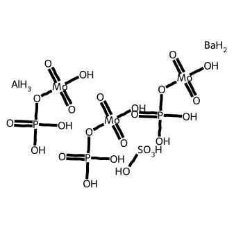 O=P(O)(O)[O][Mo](=[O])(=[O])[OH].O=P(O)(O)[O][Mo](=[O])(=[O])[OH].O=P(O)(O)[O][Mo](=[O])(=[O])[OH].O=S(=O)(O)O.[AlH3].[BaH2]